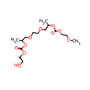 COCCOC(=O)OC(C)COCCOCC(C)OC(=O)OCCO